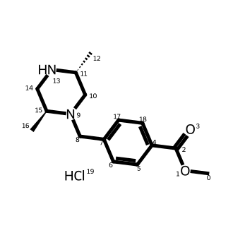 COC(=O)c1ccc(CN2C[C@@H](C)NC[C@@H]2C)cc1.Cl